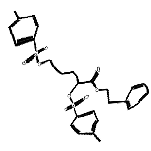 Cc1ccc(S(=O)(=O)OCCCC(OS(=O)(=O)c2ccc(C)cc2)C(=O)OCCc2ccccc2)cc1